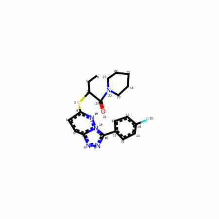 CCC(Sc1ccc2nnc(-c3ccc(F)cc3)n2n1)C(=O)N1CCCCC1